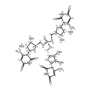 Cc1cc(=O)[nH]c(=O)n1[C@@H]1O[C@H](COP(=O)(OC[C@H]2O[C@@H](n3c(C)cc(=O)[nH]c3=O)[C@H](O)[C@@H]2O)OC[C@H]2O[C@@H](n3c(C)cc(=O)[nH]c3=O)[C@H](O)[C@@H]2O)[C@@H](O)[C@H]1O